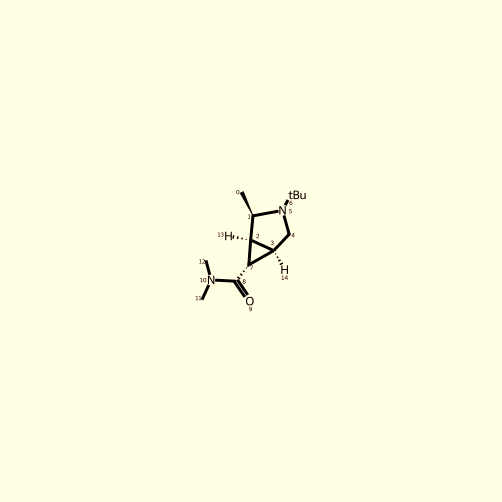 C[C@@H]1[C@H]2[C@@H](CN1C(C)(C)C)[C@@H]2C(=O)N(C)C